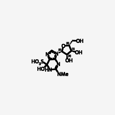 CNC1=Nc2c(ncn2[C@@H]2O[C@H](CO)[C@@H](O)[C@H]2O)C(O)(S(=O)(=O)O)N1